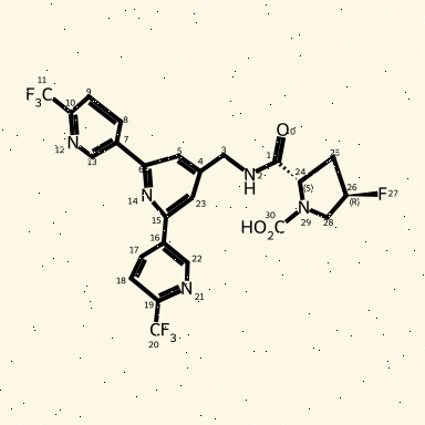 O=C(NCc1cc(-c2ccc(C(F)(F)F)nc2)nc(-c2ccc(C(F)(F)F)nc2)c1)[C@@H]1C[C@@H](F)CN1C(=O)O